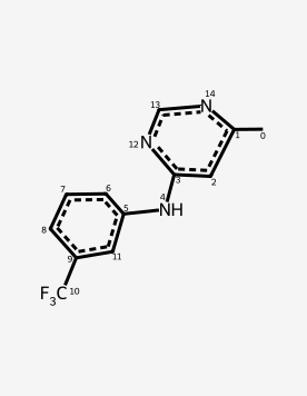 Cc1cc(Nc2cccc(C(F)(F)F)c2)ncn1